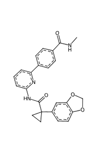 CNC(=O)c1ccc(-c2cccc(NC(=O)C3(c4ccc5c(c4)OCO5)CC3)n2)cc1